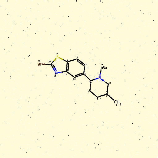 CC1CCC(c2ccc3sc(Br)nc3c2)N(C(C)(C)C)C1